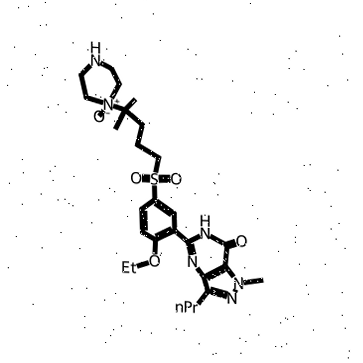 CCCc1nn(C)c2c(=O)[nH]c(-c3cc(S(=O)(=O)CCCC(C)(C)[N+]4([O-])CCNCC4)ccc3OCC)nc12